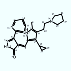 Cc1[nH]c(/C=C2/C(=O)NN=C2c2ncccn2)c(C2CC2)c1CCN1CCCC1